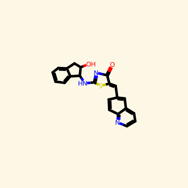 O=C1N=C(NC2c3ccccc3CC2O)S/C1=C\c1ccc2ncccc2c1